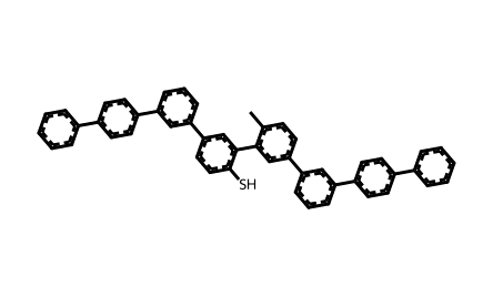 Cc1ccc(-c2cccc(-c3ccc(-c4ccccc4)cc3)c2)cc1-c1cc(-c2cccc(-c3ccc(-c4ccccc4)cc3)c2)ccc1S